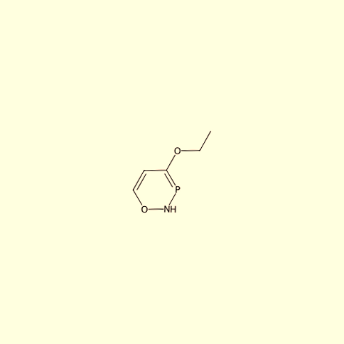 CCOC1=PNOC=C1